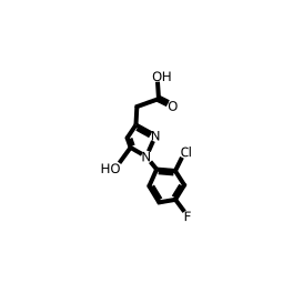 O=C(O)Cc1cc(O)n(-c2ccc(F)cc2Cl)n1